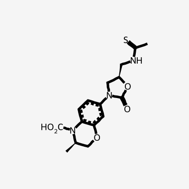 CC(=S)NC[C@@H]1CN(c2ccc3c(c2)OC[C@@H](C)N3C(=O)O)C(=O)O1